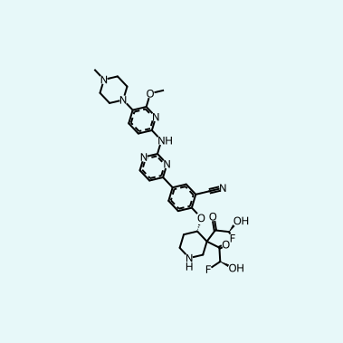 COc1nc(Nc2nccc(-c3ccc(O[C@H]4CCNCC4(C(=O)[C@@H](O)F)C(=O)[C@@H](O)F)c(C#N)c3)n2)ccc1N1CCN(C)CC1